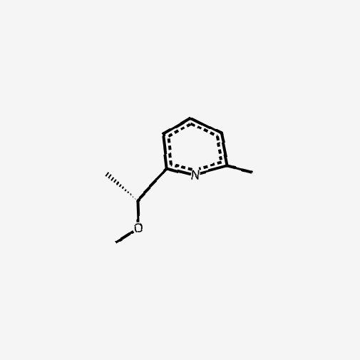 CO[C@H](C)c1cccc(C)n1